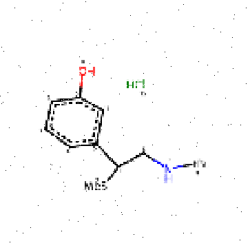 CSC(CNC(C)(C)C)c1cccc(O)c1.Cl